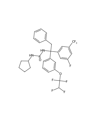 O=C(NC1CCCC1)NC(Cc1ccccc1)(c1cccc(OC(F)(F)C(F)F)c1)c1cc(F)cc(C(F)(F)F)c1